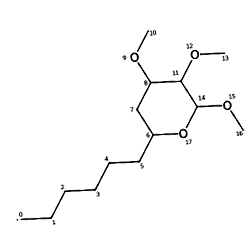 [CH2]CCCCCC1CC(OC)C(OC)C(OC)O1